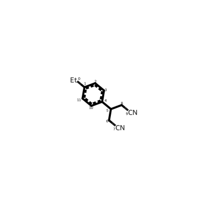 CCc1ccc(C(CC#N)CC#N)cc1